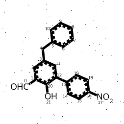 O=Cc1cc(Cc2ccccc2)cc(-c2ccc([N+](=O)[O-])cc2)c1O